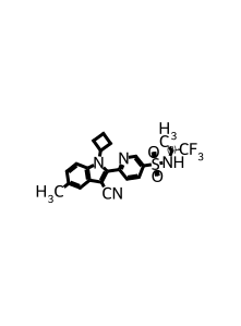 Cc1ccc2c(c1)c(C#N)c(-c1ccc(S(=O)(=O)N[C@H](C)C(F)(F)F)cn1)n2C1CCC1